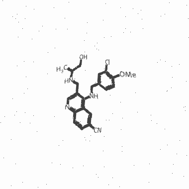 COc1ccc(CNc2c(CNC(C)CO)cnc3ccc(C#N)cc23)cc1Cl